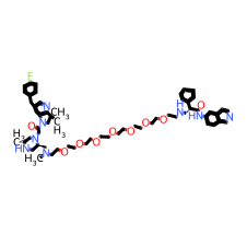 C[C@@H]1CN(CC(=O)N2CC(C)(C)c3ncc(Cc4ccc(F)cc4)cc32)[C@@H](CN(C)CCOCCOCCOCCOCCOCCOCCOCCNC[C@@H](C(=O)Nc2ccc3cnccc3c2)c2ccccc2)CN1